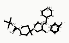 CC1CN(C2(C)CCN(C(=O)OC(C)(C)C)CC2)CCN1[C@@H](c1cccc(F)c1)C1CCNCC1